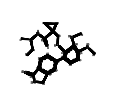 CC[C@@H](C)OC(=O)C1(COc2c(-c3ccc4c(c3)COC4=O)ccc(OC)c2OC)CC1